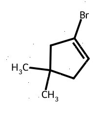 CC1(C)CC=C(Br)C1